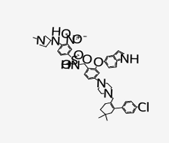 CN1CCC(Nc2ccc(S(=O)(=O)NC(=O)c3ccc(N4CCN(CC5=C(c6ccc(Cl)cc6)CC(C)(C)CC5)CC4)cc3Oc3ccc4[nH]ccc4c3)cc2[N+](=O)[O-])C1